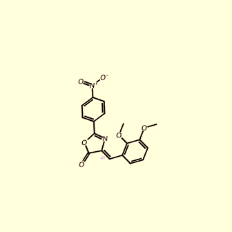 COc1cccc(/C=C2\N=C(c3ccc([N+](=O)[O-])cc3)OC2=O)c1OC